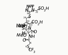 CO[C@@]1(NC(=O)CSC(F)(F)F)C(=O)N2C(C(=O)O)=C(CSc3nnnn3CS(=O)(=O)O)CS[C@@H]21.[NaH].[NaH]